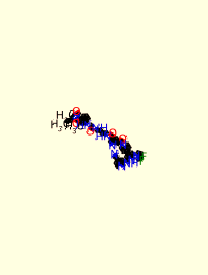 CCCC(C)N(C=O)C(=O)c1cccc(NCC(=O)NCCCCNC(=O)c2cncc(C(=O)N3CCC(c4cc(Nc5cc(C#N)ccn5)nc(N5CCC(F)(F)C5)c4)CC3)c2)c1C